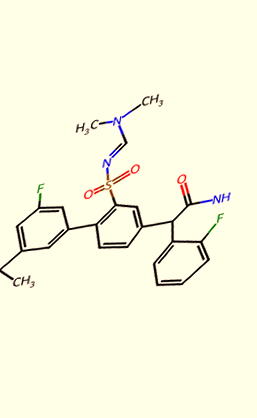 CN(C)C=NS(=O)(=O)c1cc(C(C(N)=O)c2ccccc2F)ccc1-c1cc(F)cc(C(C)(C)O)c1